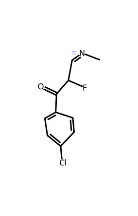 C/N=C\C(F)C(=O)c1ccc(Cl)cc1